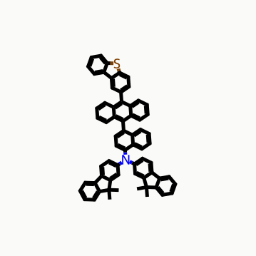 CC1(C)c2ccccc2-c2ccc(N(c3ccc4c(c3)C(C)(C)c3ccccc3-4)c3ccc(-c4c5ccccc5c(-c5ccc6sc7ccccc7c6c5)c5ccccc45)c4ccccc34)cc21